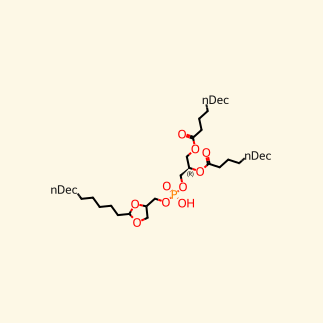 CCCCCCCCCCCCCCCC1OCC(COP(=O)(O)OC[C@@H](COC(=O)CCCCCCCCCCCCC)OC(=O)CCCCCCCCCCCCC)O1